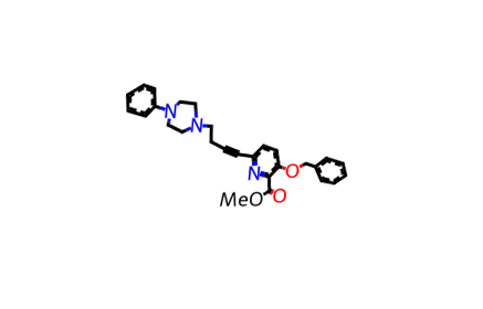 COC(=O)c1nc(C#CCCN2CCN(c3ccccc3)CC2)ccc1OCc1ccccc1